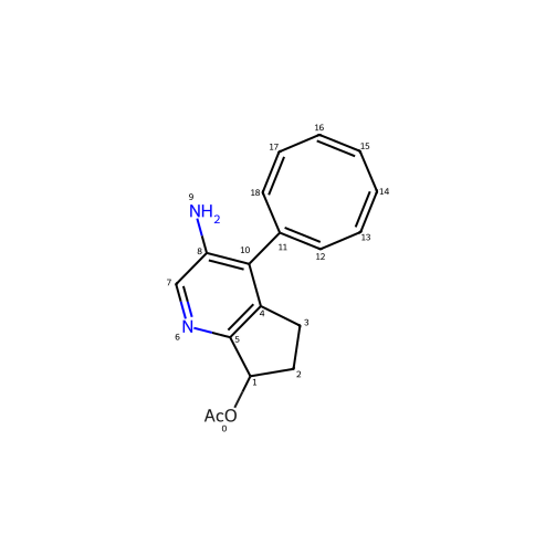 CC(=O)OC1CCc2c1ncc(N)c2C1=C/C=C\C=C/C=C\1